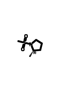 C[C@H]1CCCN1S(C)(=O)=O